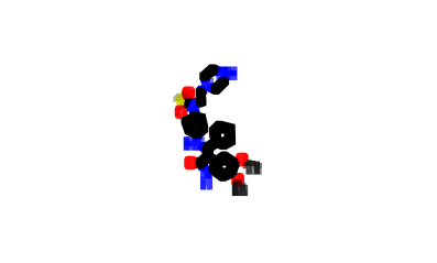 CCOc1cc2c(cc1OCC)/C(=C(/Nc1ccc(N(CCN3CCNCC3)S(C)(=O)=O)cc1)c1ccccc1)C(=O)N2